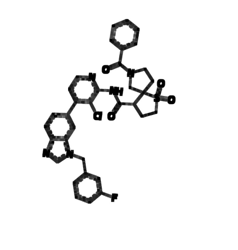 O=C(Nc1nccc(-c2ccc3ncn(Cc4cccc(F)c4)c3c2)c1Cl)C1CCS(=O)(=O)C12CCN(C(=O)c1ccccc1)C2